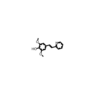 COc1cc(C=Cc2ccccn2)cc(OC)c1O